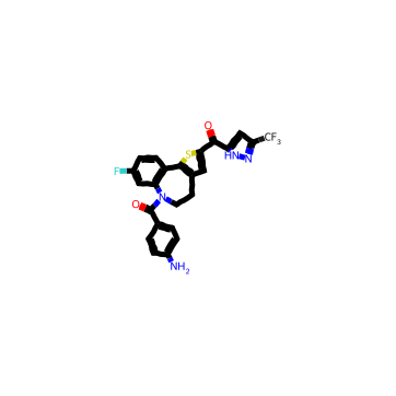 Nc1ccc(C(=O)N2CCc3cc(C(=O)c4cc(C(F)(F)F)n[nH]4)sc3-c3ccc(F)cc32)cc1